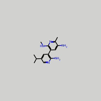 CNc1nc(C)c(N)cc1-c1cc(C(C)C)cnc1N